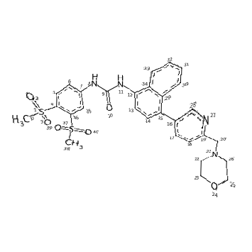 CS(=O)(=O)c1ccc(NC(=O)Nc2ccc(-c3ccc(CN4CCOCC4)nc3)c3ccccc23)cc1S(C)(=O)=O